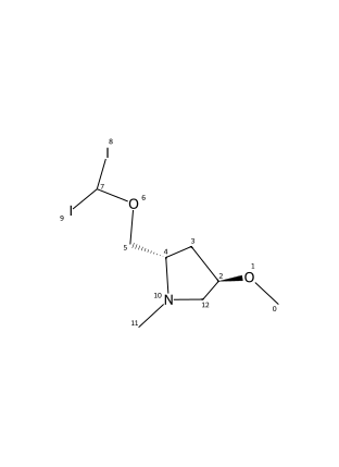 CO[C@@H]1C[C@@H](COC(I)I)N(C)C1